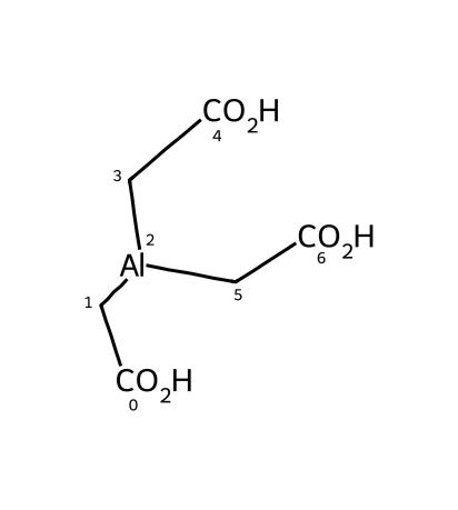 O=C(O)[CH2][Al]([CH2]C(=O)O)[CH2]C(=O)O